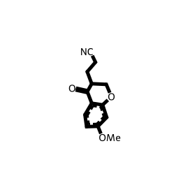 COc1ccc2c(c1)OCC(CCC#N)C2=O